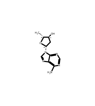 C[C@H]1O[C@@H](n2cnc3c(N)ncnc32)C[C@@H]1O